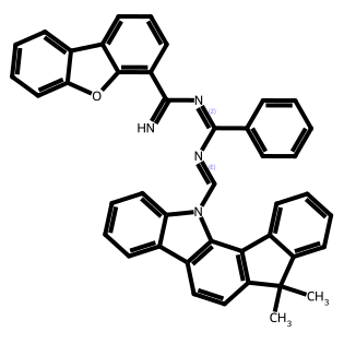 CC1(C)c2ccccc2-c2c1ccc1c3ccccc3n(/C=N/C(=N\C(=N)c3cccc4c3oc3ccccc34)c3ccccc3)c21